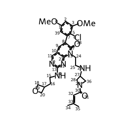 COc1cc(OC)c(Cl)c(-c2cc3cnc(NCCC4COC4)nc3n(CCNC3CN(C(=O)C=C(C)C)C3)c2=O)c1